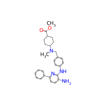 COC(=O)C1CCC(N(C)Cc2ccc(Nc3nc(-c4ccccc4)ccc3N)cc2)CC1